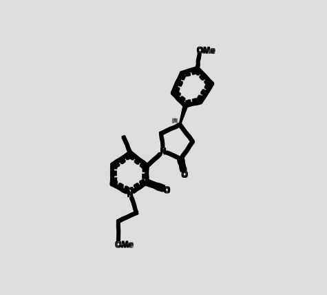 COCCn1ccc(C)c(N2C[C@@H](c3ccc(OC)cc3)CC2=O)c1=O